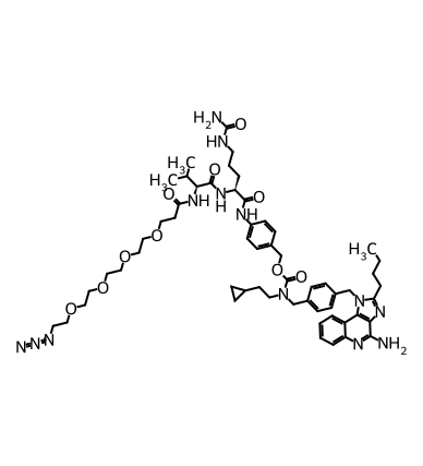 CCCCc1nc2c(N)nc3ccccc3c2n1Cc1ccc(CN(CCC2CC2)C(=O)OCc2ccc(NC(=O)[C@H](CCCNC(N)=O)NC(=O)[C@@H](NC(=O)CCOCCOCCOCCOCCN=[N+]=[N-])C(C)C)cc2)cc1